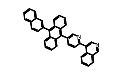 c1ccc2cc(-c3c4ccccc4c(-c4ccc(-c5cncc6ccccc56)nc4)c4ccccc34)ccc2c1